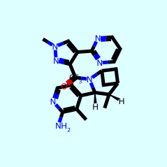 Cc1c(N)ncc(C(F)(F)F)c1[C@H]1[C@@H](C)C2CC(C2)N1C(=O)c1nn(C)cc1-c1ncccn1